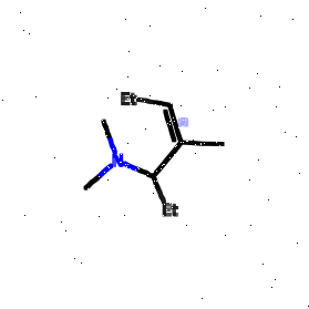 CC/C=C(/C)C(CC)N(C)C